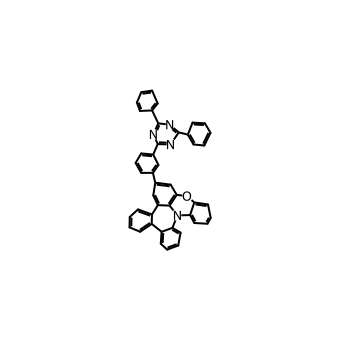 c1ccc(-c2nc(-c3ccccc3)nc(-c3cccc(-c4cc5c6c(c4)-c4ccccc4-c4ccccc4N6c4ccccc4O5)c3)n2)cc1